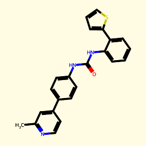 Cc1cc(-c2ccc(NC(=O)Nc3ccccc3-c3cccs3)cc2)ccn1